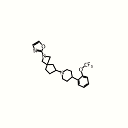 FC(F)(F)Oc1ccccc1C1CCN(C2CCC3(C2)CN(c2ncco2)C3)CC1